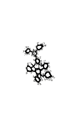 CC1(C)c2ccccc2-c2c1c1c(c3ccccc3n1-c1ccc(-c3cc(-c4ccccc4)nc(-c4ccccc4)n3)cc1)c1c2c2ccccc2n1-c1ccccc1